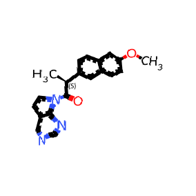 COc1ccc2cc([C@H](C)C(=O)n3ccc4cncnc43)ccc2c1